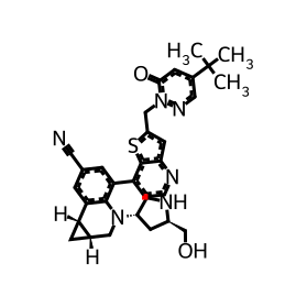 CC(C)(C)c1cnn(Cc2cc3nccc(-c4cc(C#N)cc5c4N([C@@H]4CN[C@@H](CO)C4)C[C@@H]4C[C@H]54)c3s2)c(=O)c1